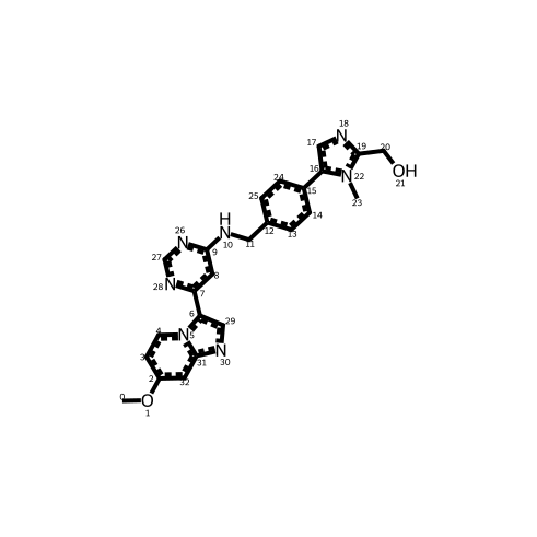 COc1ccn2c(-c3cc(NCc4ccc(-c5cnc(CO)n5C)cc4)ncn3)cnc2c1